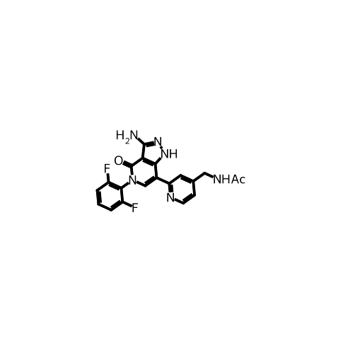 CC(=O)NCc1ccnc(-c2cn(-c3c(F)cccc3F)c(=O)c3c(N)n[nH]c23)c1